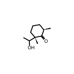 CC(O)[C@]1(C)CCC[C@@H](C)C1=O